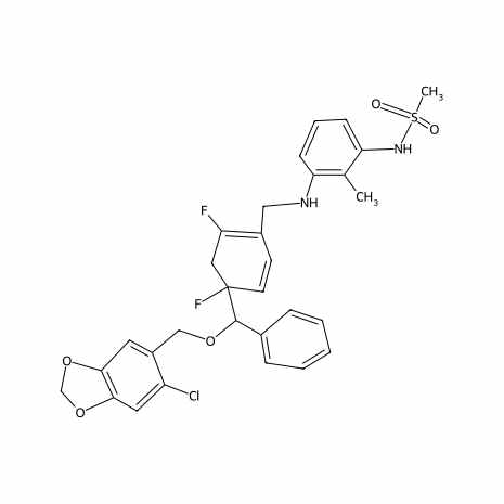 Cc1c(NCC2=C(F)CC(F)(C(OCc3cc4c(cc3Cl)OCO4)c3ccccc3)C=C2)cccc1NS(C)(=O)=O